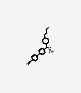 CCCCC1CCC(C(OO)c2ccc(-c3ccc(C#N)cc3)cc2)CC1